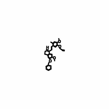 C#CCOc1cc(/C=C/C2NCCc3cc(OCc4ccccc4)c(OC)cc32)c(C)cc1OC